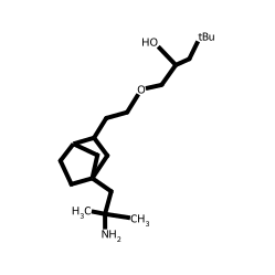 CC(C)(C)CC(O)COCCC1CC2(CC(C)(C)N)CCC1C2